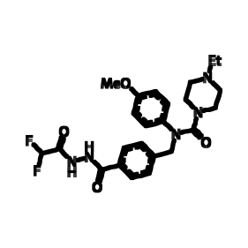 CCN1CCN(C(=O)N(Cc2ccc(C(=O)NNC(=O)C(F)F)cc2)c2ccc(OC)cc2)CC1